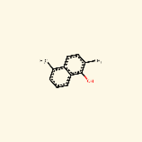 Cc1ccc2c(C)cccc2c1O